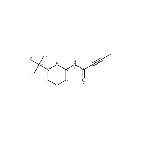 CC#CC(=O)NC1CCCN(C(C)(C)C)C1